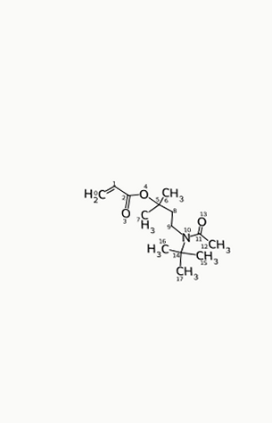 C=CC(=O)OC(C)(C)CCN(C(C)=O)C(C)(C)C